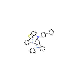 c1ccc(-c2ccc(N(c3ccc4c(c3)c3ccccc3n4-c3ccccc3)c3cccc4sc5c6ccccc6cnc5c34)cc2)cc1